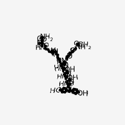 BC(=O)NCCOCCOCCNC(=O)[C@H](CCCCn1cc(CCCC(=O)Nc2nnc(S(N)(=O)=O)s2)nn1)NC(=O)C[C@H](NC(=O)C[C@H](NC(=O)CCC(C)(c1ccc(O)cc1)c1ccc(O)cc1)C(=O)O)C(=O)O